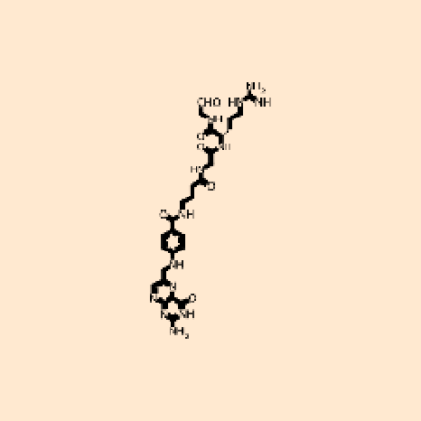 N=C(N)NCCC[C@H](NC(=O)CNC(=O)CCCNC(=O)c1ccc(NCc2cnc3nc(N)[nH]c(=O)c3n2)cc1)C(=O)NCC=O